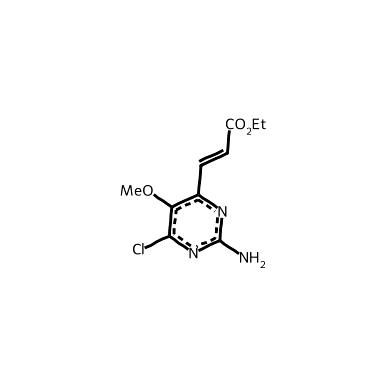 CCOC(=O)/C=C/c1nc(N)nc(Cl)c1OC